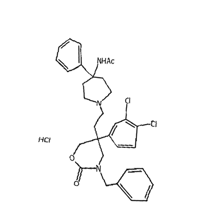 CC(=O)NC1(c2ccccc2)CCN(CCC2(c3ccc(Cl)c(Cl)c3)COC(=O)N(Cc3ccccc3)C2)CC1.Cl